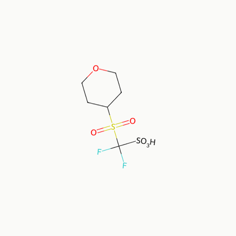 O=S(=O)(O)C(F)(F)S(=O)(=O)C1CCOCC1